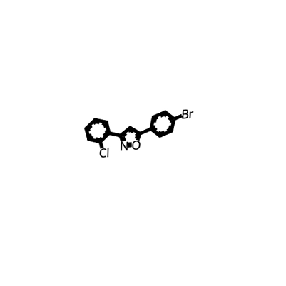 Clc1ccccc1-c1cc(-c2ccc(Br)cc2)on1